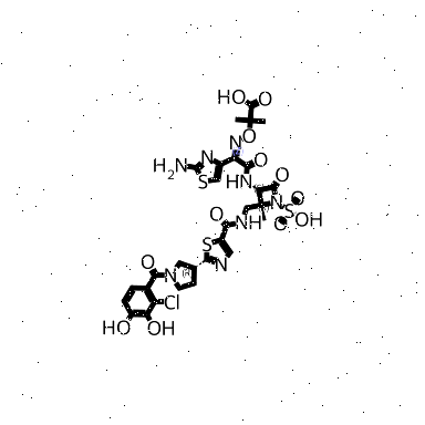 CC(C)(O/N=C(\C(=O)N[C@@H]1C(=O)N(S(=O)(=O)O)[C@]1(C)CNC(=O)c1cnc([C@@H]2CCN(C(=O)c3ccc(O)c(O)c3Cl)C2)s1)c1csc(N)n1)C(=O)O